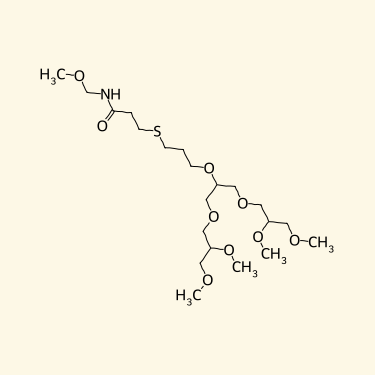 COCNC(=O)CCSCCCOC(COCC(COC)OC)COCC(COC)OC